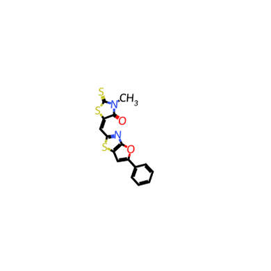 CN1C(=O)/C(=C\c2nc3oc(-c4ccccc4)cc3s2)SC1=S